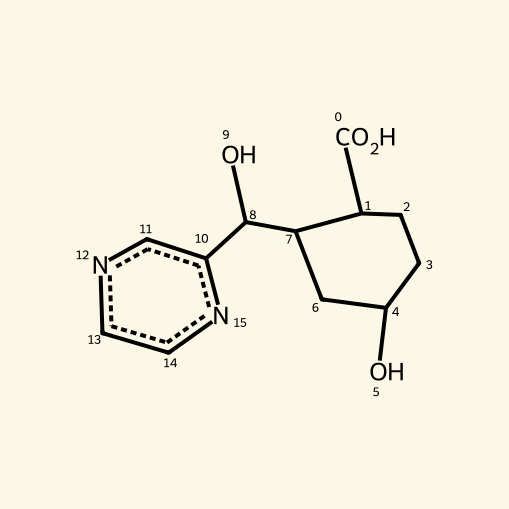 O=C(O)C1CCC(O)CC1C(O)c1cnccn1